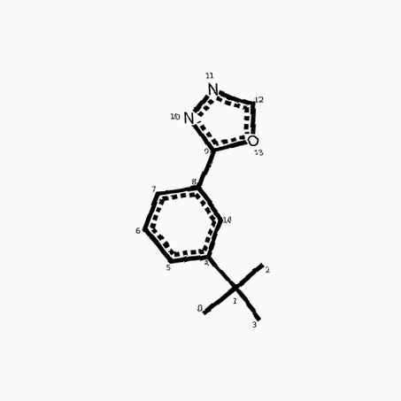 CC(C)(C)c1cccc(-c2nnco2)c1